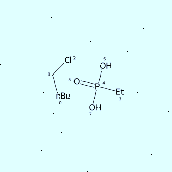 CCCCCCl.CCP(=O)(O)O